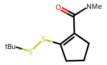 CNC(=O)C1=C(SSC(C)(C)C)CCC1